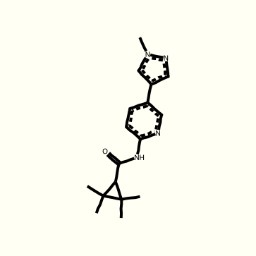 Cn1cc(-c2ccc(NC(=O)C3C(C)(C)C3(C)C)nc2)cn1